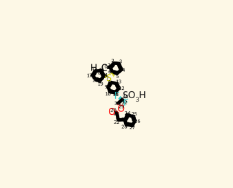 Cc1ccccc1[S+](c1ccccc1)c1ccccc1.O=C(Cc1ccccc1)OCC(F)(F)S(=O)(=O)O